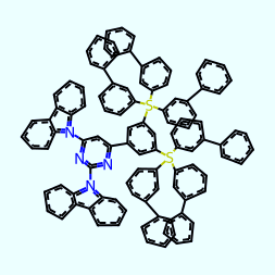 c1ccc(-c2cccc(S(c3cccc(-c4ccccc4)c3)(c3cccc(-c4ccccc4)c3)c3cc(-c4cc(-n5c6ccccc6c6ccccc65)nc(-n5c6ccccc6c6ccccc65)n4)cc(S(c4cccc(-c5ccccc5)c4)(c4cccc(-c5ccccc5)c4)c4cccc(-c5ccccc5)c4)c3)c2)cc1